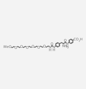 COCCOCCOCCOCCOCCOCCOCCNC(=O)Nc1ccc(C[C@H](N)C(=O)Nc2ccc(C(=O)O)cc2)cc1